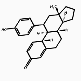 CC(=O)c1ccc([C@H]2C[C@]3(C)CCC[C@H]3[C@@H]3CCC4=CC(=O)C=C[C@@H]4[C@H]32)cc1